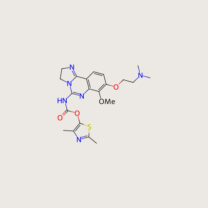 COc1c(OCCN(C)C)ccc2c1N=C(NC(=O)Oc1sc(C)nc1C)N1CCN=C21